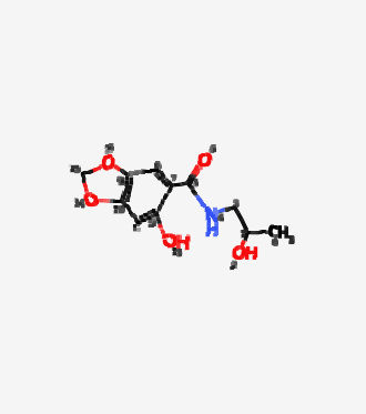 CC(O)CNC(=O)c1cc2c(cc1O)OCO2